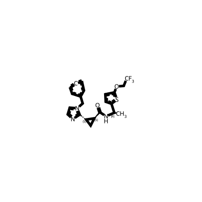 C[C@@H](NC(=O)[C@H]1C[C@@H]1c1nccn1Cc1ccccc1)c1ccc(OCC(F)(F)F)s1